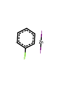 Fc1[c]cccc1.[I][Zn][I]